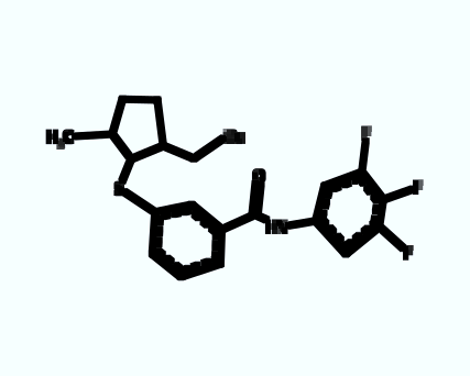 CCC(C)CC1CCC(C)C1Sc1cccc(C(=O)Nc2cc(F)c(F)c(F)c2)c1